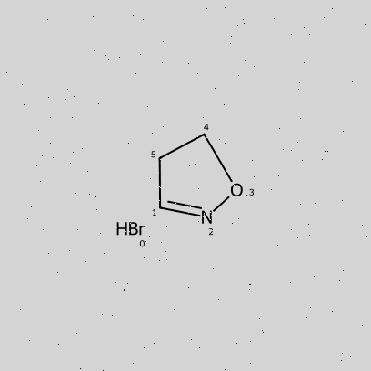 Br.C1=NOCC1